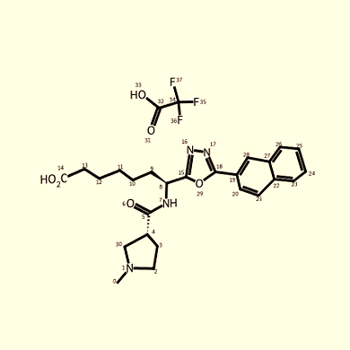 CN1CC[C@@H](C(=O)N[C@@H](CCCCCC(=O)O)c2nnc(-c3ccc4ccccc4c3)o2)C1.O=C(O)C(F)(F)F